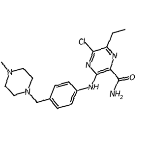 CCc1nc(C(N)=O)c(Nc2ccc(CN3CCN(C)CC3)cc2)nc1Cl